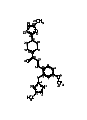 Cc1nnn(Cc2cc(OC(F)(F)F)ccc2/C=C/C(=O)N2CCC(c3nnc(C)o3)CC2)n1